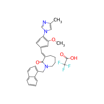 COc1cc(C=C2CCCCN(Cc3cccc4ccccc34)C2=O)ccc1-n1cnc(C)c1.O=C(O)C(F)(F)F